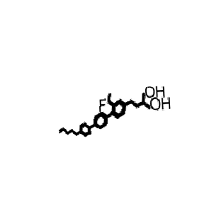 CCCCCc1ccc(-c2ccc(-c3ccc(CCC(CO)CO)cc3CC)c(F)c2)cc1